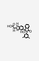 Cc1cc(C)cc(N2C(=O)c3ccccc3C2(O)c2ccc3[nH]c(NC(=O)O)nc3c2)c1